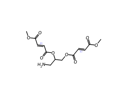 COC(=O)/C=C/C(=O)OCC(CN)OC(=O)/C=C/C(=O)OC